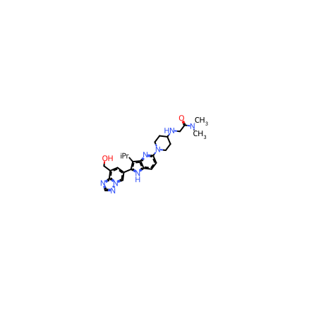 CC(C)c1c(-c2cc(CO)c3ncnn3c2)[nH]c2ccc(N3CCC(NCC(=O)N(C)C)CC3)nc12